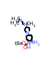 CN(C)CCN(C)C1CCN(C2=CC=C(N)C(NC(=O)OC(C)(C)C)=CC2)CC1